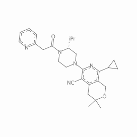 CC(C)[C@@H]1CN(c2nc(C3CC3)c3c(c2C#N)CC(C)(C)OC3)CCN1C(=O)Cc1ccccn1